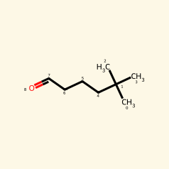 CC(C)(C)CC[CH]C=O